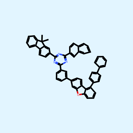 CC1(C)c2ccccc2-c2ccc(-c3nc(-c4cccc(-c5ccc6c(c5)oc5cccc(-c7ccc(-c8ccccc8)cc7)c56)c4)nc(-c4ccc5ccccc5c4)n3)cc21